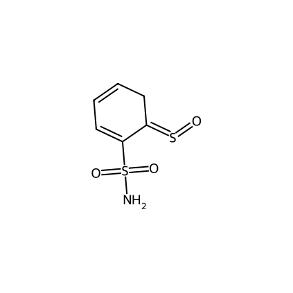 NS(=O)(=O)C1=CC=CCC1=S=O